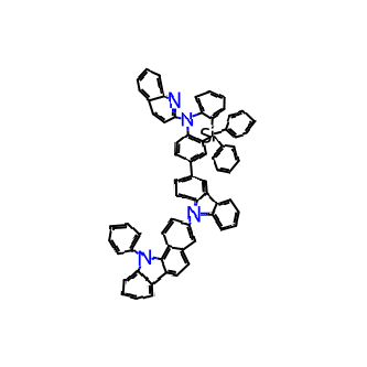 c1ccc(-n2c3ccccc3c3ccc4cc(-n5c6ccccc6c6cc(-c7ccc8c(c7)[Si](c7ccccc7)(c7ccccc7)c7ccccc7N8c7ccc8ccccc8n7)ccc65)ccc4c32)cc1